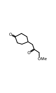 COCC(=O)CC1CCC(=O)CC1